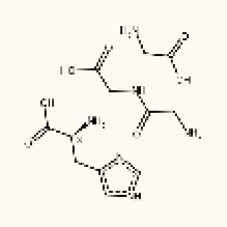 NCC(=O)NCC(=O)O.NCC(=O)O.N[C@@H](Cc1c[nH]cn1)C(=O)O